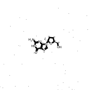 C[C@]1(n2cnc3c(=O)[nH]c(N)nc32)CC[C@@H](CO)O1